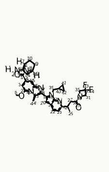 COc1cc(C(=O)N2[C@H]3CC[C@@H]2[C@H](N)C3)cc2nc(-c3cc4ccc(C(C)CC(=O)N5CC(F)(F)C5)nc4n3CC3CC3)c(C)n12